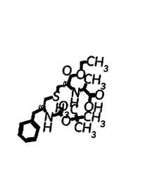 CCOC(=O)[C@H](CSC[C@H](Cc1ccccc1)NC(=O)OC(C)(C)C)NC(C)C(=O)O